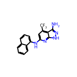 Nc1n[nH]c2nc(Nc3cccc4ccccc34)cc(C(F)(F)F)c12